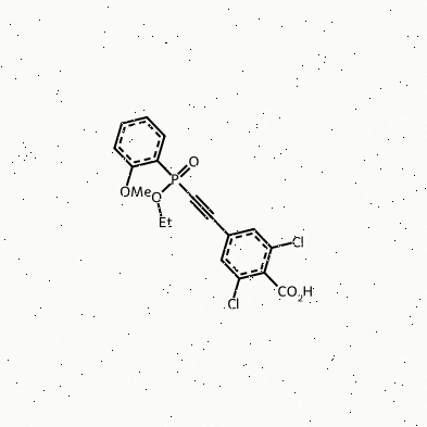 CCOP(=O)(C#Cc1cc(Cl)c(C(=O)O)c(Cl)c1)c1ccccc1OC